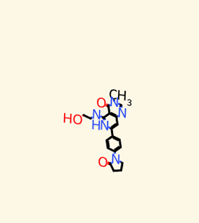 Cn1cnc2cc(-c3ccc(N4CCCC4=O)cc3)nc(NCCO)c2c1=O